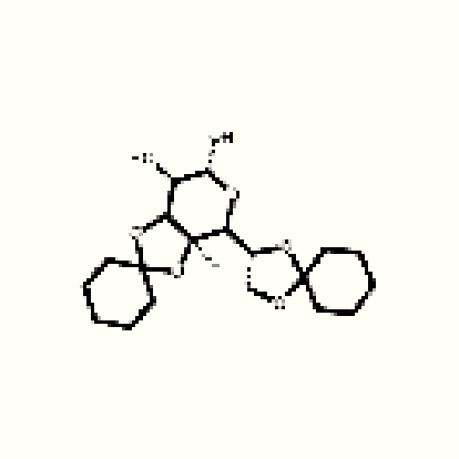 O[C@@H]1O[C@@H]([C@H]2COC3(CCCCC3)O2)[C@H]2OC3(CCCCC3)OC2[C@H]1O